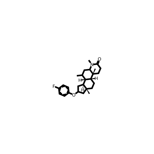 CC1CC2N(C)C(=O)CC[C@]2(C)[C@@H]2CC[C@]3(C)CC(Oc4ccc(F)cc4)C[C@H]3[C@H]12